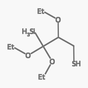 CCOC(CS)C([SiH3])(OCC)OCC